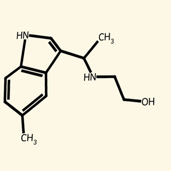 Cc1ccc2[nH]cc(C(C)NCCO)c2c1